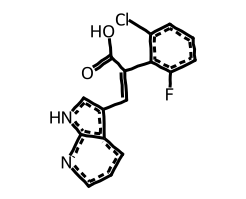 O=C(O)C(=Cc1c[nH]c2ncccc12)c1c(F)cccc1Cl